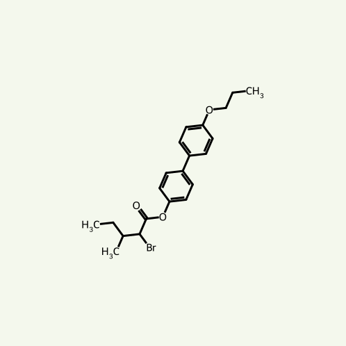 CCCOc1ccc(-c2ccc(OC(=O)C(Br)C(C)CC)cc2)cc1